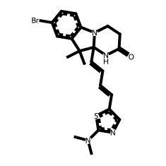 CN(C)c1ncc(C=CC=CC23NC(=O)CCN2c2ccc(Br)cc2C3(C)C)s1